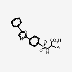 CC(C)C(NS(=O)(=O)c1ccc(-c2ncc(-c3ccccc3)o2)cc1)C(=O)O